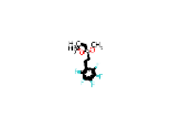 CC[Si](CCc1c(F)c(F)c(F)c(F)c1F)(OC)OC